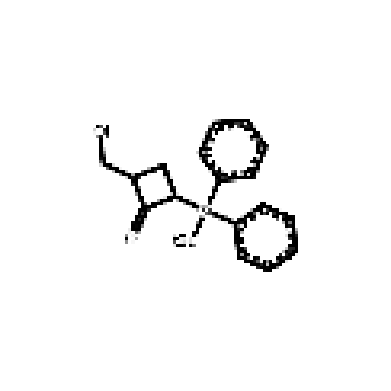 CC(C)(C)[Si](c1ccccc1)(c1ccccc1)C1CC(CO)C1=O